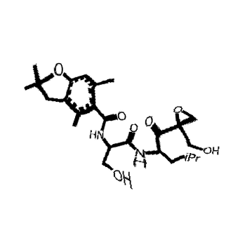 Cc1cc2c(c(C)c1C(=O)NC(CO)C(=O)NC(CC(C)C)C(=O)C1(CO)CO1)CC(C)(C)O2